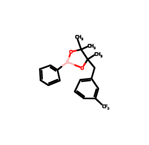 CC1(C)OB(c2ccccc2)OC1(C)Cc1cccc(C(F)(F)F)c1